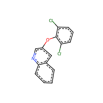 Clc1cccc(Cl)c1Oc1cnc2ccccc2c1